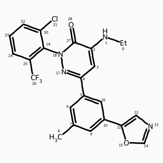 CCNc1cc(-c2cc(C)cc(-c3cnco3)c2)nn(-c2c(Cl)cccc2C(F)(F)F)c1=O